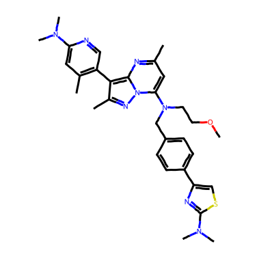 COCCN(Cc1ccc(-c2csc(N(C)C)n2)cc1)c1cc(C)nc2c(-c3cnc(N(C)C)cc3C)c(C)nn12